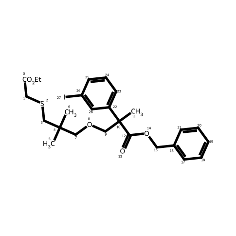 CCOC(=O)CSCC(C)(C)COCC(C)(C(=O)OCc1ccccc1)c1cccc(I)c1